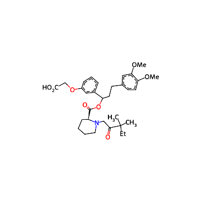 CCC(C)(C)C(=O)CN1CCCC[C@H]1C(=O)OC(CCc1ccc(OC)c(OC)c1)c1cccc(OCC(=O)O)c1